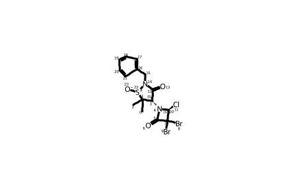 CC1(C)[C@@H](N2C(=O)C(Br)(Br)[C@@H]2Cl)C(=O)N(Cc2ccccc2)[S+]1[O-]